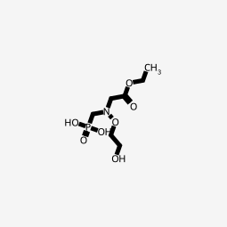 CCOC(=O)CN(CP(=O)(O)O)OCCO